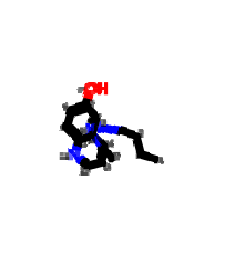 CCCN1C=C2C(O)=CC=C3N=CC=CC32N1C